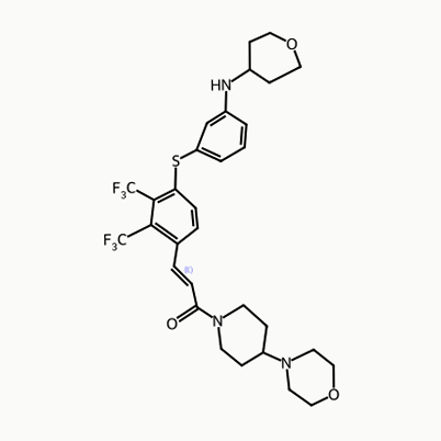 O=C(/C=C/c1ccc(Sc2cccc(NC3CCOCC3)c2)c(C(F)(F)F)c1C(F)(F)F)N1CCC(N2CCOCC2)CC1